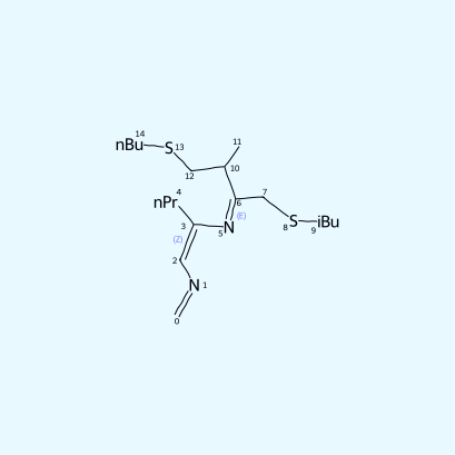 C=N/C=C(CCC)\N=C(\CSC(C)CC)C(C)CSCCCC